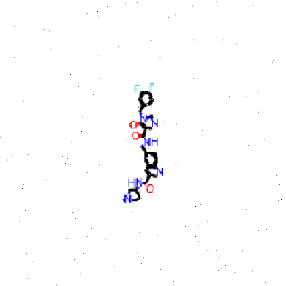 CN1CCC(NC(=O)c2cnc3ccc(CNC(=O)c4cncn(Cc5ccc(F)c(F)c5)c4=O)cc3c2)C1